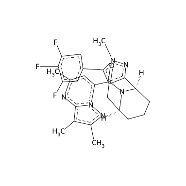 Cc1cc(C(=O)N2[C@H]3CCC[C@@H]2c2nn(C)c(-c4cc(F)c(F)c(F)c4)c2C3)n2nc(C)c(C)c2n1